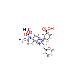 COC(=O)N1c2ccc3c(nc(CC[C@@H]4CCCCO4)n3[C@@H]3CCC[C@H](C(=O)O)C3)c2CC[C@@H]1C